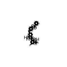 Cc1cc(N/N=C2/C=CC(Sc3ccc(OC(=O)c4ccccc4)cc3)=CC2=N)c(O)c(C(C)(C)C)c1